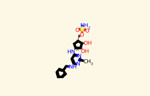 Cc1nc(NCc2ccccc2)cc(N[C@@H]2C[C@H](COS(N)(=O)=O)[C@@H](O)[C@H]2O)n1